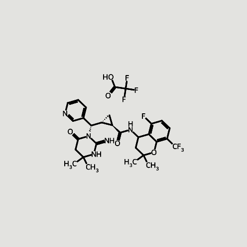 CC1(C)CC(=O)N([C@H](c2cccnc2)[C@@H]2C[C@H]2C(=O)NC2CC(C)(C)Oc3c(C(F)(F)F)ccc(F)c32)C(=N)N1.O=C(O)C(F)(F)F